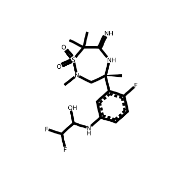 CN1C[C@@](C)(c2cc(NC(O)C(F)F)ccc2F)NC(=N)C(C)(C)S1(=O)=O